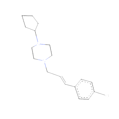 Cc1ccc(/C=C/CN2CCN(C3CCCC3)CC2)cc1